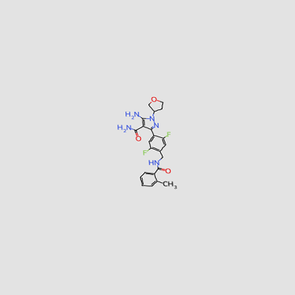 Cc1ccccc1C(=O)NCc1cc(F)c(-c2nn(C3CCOC3)c(N)c2C(N)=O)cc1F